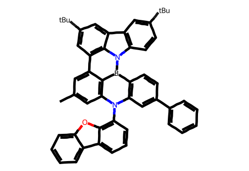 Cc1cc2c3c(c1)N(c1cccc4c1oc1ccccc14)c1cc(-c4ccccc4)ccc1B3n1c3ccc(C(C)(C)C)cc3c3cc(C(C)(C)C)cc-2c31